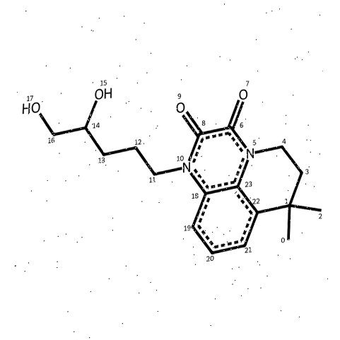 CC1(C)CCn2c(=O)c(=O)n(CCCC(O)CO)c3cccc1c32